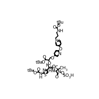 CC(C)(C)OC(=O)NCCC[n+]1ccc(Oc2ccc(OCC(O/N=C(\C(=O)N[C@@H]3C(=O)N(OS(=O)(=O)O)C3(C)C)c3csc(NC(=O)OC(C)(C)C)n3)C(=O)OC(C)(C)C)cn2)cc1